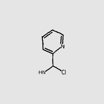 [NH]C(Cl)c1ccccn1